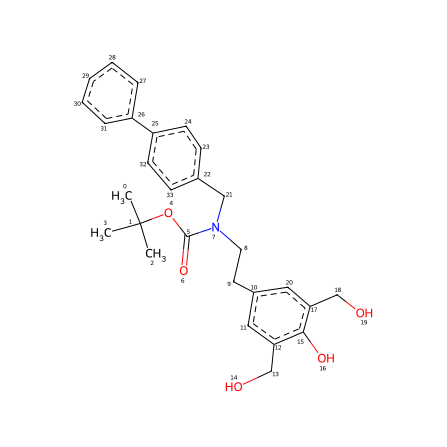 CC(C)(C)OC(=O)N(CCc1cc(CO)c(O)c(CO)c1)Cc1ccc(-c2ccccc2)cc1